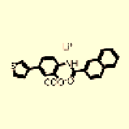 O=C(Nc1ccc(-c2ccsc2)cc1C(=O)[O-])c1ccc2ccccc2c1.[Li+]